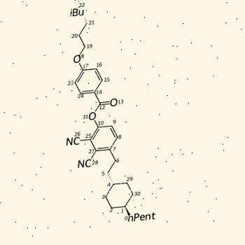 CCCCC[C@H]1CC[C@H](CCc2ccc(OC(=O)c3ccc(OCCC[C@@H](C)CC)cc3)c(C#N)c2C#N)CC1